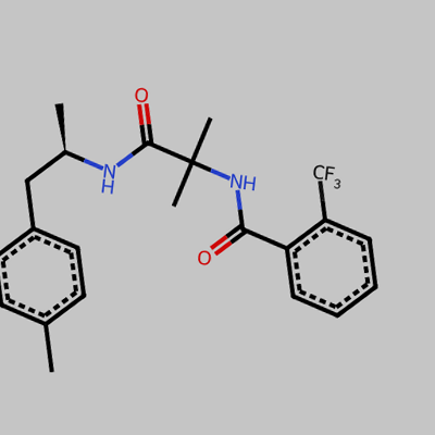 Cc1ccc(C[C@@H](C)NC(=O)C(C)(C)NC(=O)c2ccccc2C(F)(F)F)cc1